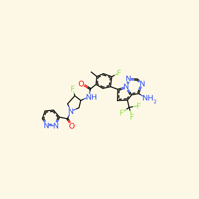 Cc1cc(F)c(-c2cc(C(F)(F)F)c3c(N)ncnn23)cc1C(=O)NC1CN(C(=O)c2cccnn2)CC1F